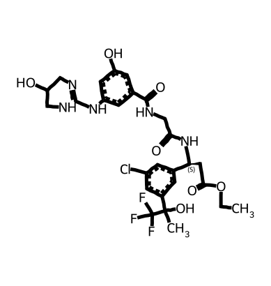 CCOC(=O)C[C@H](NC(=O)CNC(=O)c1cc(O)cc(NC2=NCC(O)CN2)c1)c1cc(Cl)cc(C(C)(O)C(F)(F)F)c1